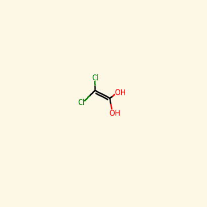 OC(O)=C(Cl)Cl